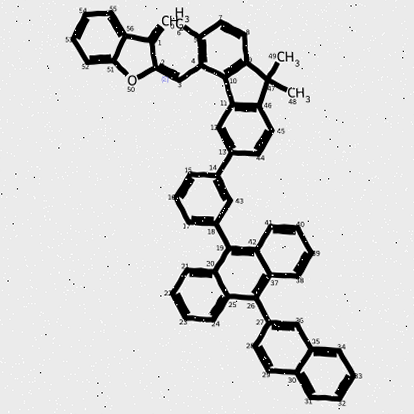 C=c1/c(=C\c2c(C)ccc3c2-c2cc(-c4cccc(-c5c6ccccc6c(-c6ccc7ccccc7c6)c6ccccc56)c4)ccc2C3(C)C)oc2ccccc12